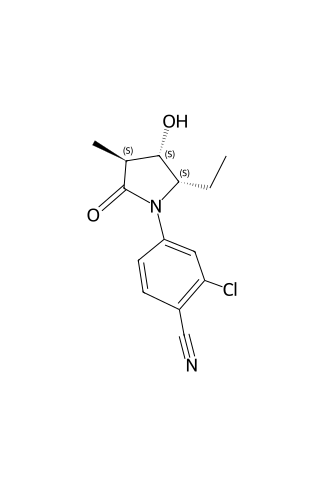 CC[C@H]1[C@@H](O)[C@H](C)C(=O)N1c1ccc(C#N)c(Cl)c1